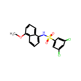 COc1cccc2c(NS(=O)(=O)c3cc(Cl)cc(Cl)c3)cccc12